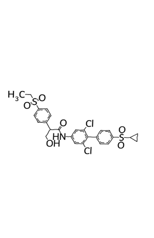 CCS(=O)(=O)c1ccc(C(CO)C(=O)Nc2cc(Cl)c(-c3ccc(S(=O)(=O)C4CC4)cc3)c(Cl)c2)cc1